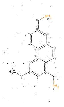 CCc1cc(CP)c2ccc3cc(CP)ccc3c2c1